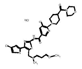 COCCCN(C)Cc1sc(NC(=O)c2cnc(N3CCC(C(=O)N4CCOCC4)CC3)c(Cl)c2)nc1-c1cc(Cl)cs1.Cl